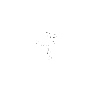 C1=CC(C2NC(c3ccc(-c4ccccc4)cc3)=NC(c3ccc(-c4ccccc4)cc3)N2)NC(n2c3ccccc3c3c4ccccc4ccc32)=C1